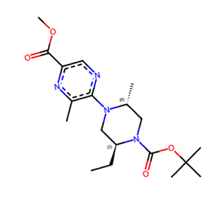 CC[C@H]1CN(c2ncc(C(=O)OC)nc2C)[C@H](C)CN1C(=O)OC(C)(C)C